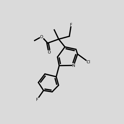 COC(=O)C(C)(CF)c1cc(Cl)nc(-c2ccc(F)cc2)c1